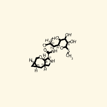 CSC1O[C@H]([C@H](NC(=O)[C@H]2NC[C@@H]3C[C@H]4C[C@H]4CO[C@H]32)[C@H](C)Cl)C(O)C(O)[C@H]1O